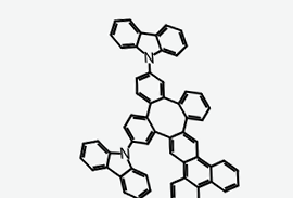 c1ccc2c(c1)-c1cc(-n3c4ccccc4c4ccccc43)ccc1-c1ccc(-n3c4ccccc4c4ccccc43)cc1-c1cc3c4ccccc4c4ccccc4c3cc1-2